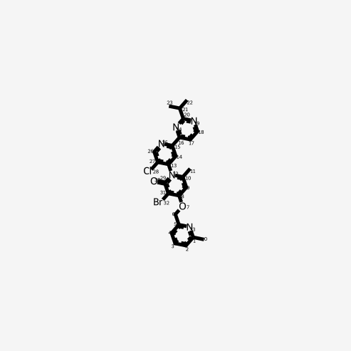 Cc1cccc(COc2cc(C)n(-c3cc(-c4ccnc(C(C)C)n4)ncc3Cl)c(=O)c2Br)n1